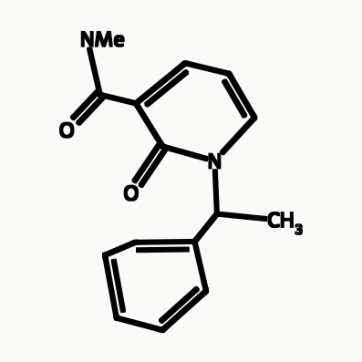 CNC(=O)c1cccn(C(C)c2ccccc2)c1=O